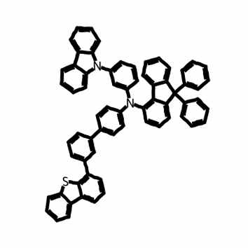 c1ccc(C2(c3ccccc3)c3ccccc3-c3c(N(c4ccc(-c5cccc(-c6cccc7c6sc6ccccc67)c5)cc4)c4cccc(-n5c6ccccc6c6ccccc65)c4)cccc32)cc1